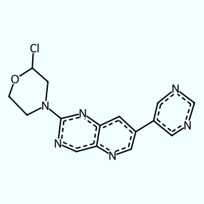 ClC1CN(c2ncc3ncc(-c4cncnc4)cc3n2)CCO1